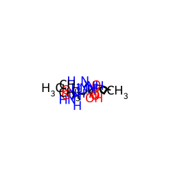 Cc1ccc(S(=O)(=O)N(NC(=N)N)[C@H](CCCNC(=N)NC(=O)OC(C)(C)C)C(=O)O)cc1